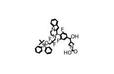 C[C@@H]1Cn2c(cc3ccccc32)[C@@H](c2c(F)cc(C(O)C3CN(C(=O)O)C3)cc2F)N1CC(F)(F)CO[Si](c1ccccc1)(c1ccccc1)C(C)(C)C